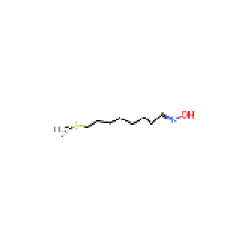 CSCCCCCCC/C=N/O